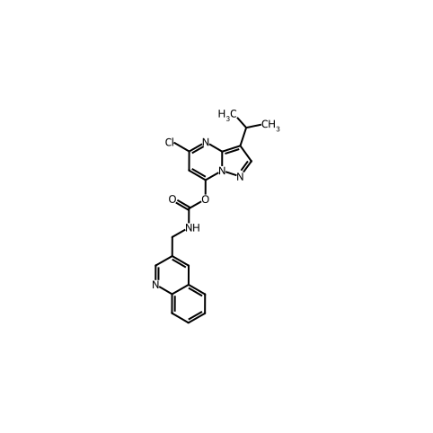 CC(C)c1cnn2c(OC(=O)NCc3cnc4ccccc4c3)cc(Cl)nc12